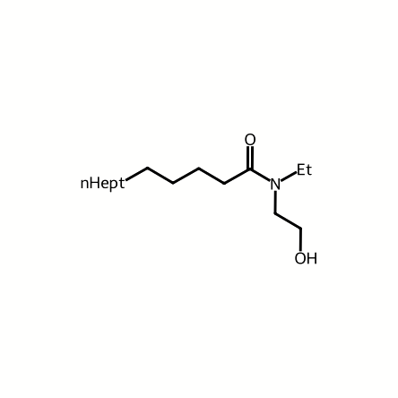 CCCCCCCCCCCC(=O)N(CC)CCO